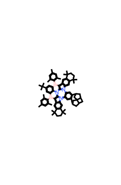 Cc1cc(C)c(B2c3cc(C(C)(C)C)cc4c3-n3c5c2c2cc6c(cc2n5c2cc5c(cc2n2c7cc8c(cc7c(c32)B4c2c(C)cc(C)cc2C)C(C)(C)CCC8(C)C)C2CC3CC4CC5CC43C2)C(C)(C)CCC6(C)C)c(C)c1